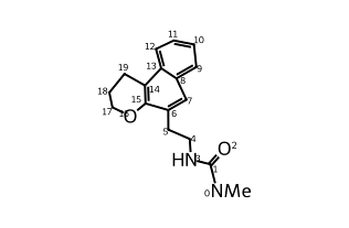 CNC(=O)NCCc1cc2ccccc2c2c1OCCC2